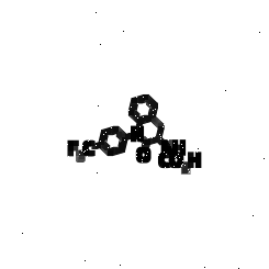 O=C(O)NC1Cc2ccccc2N(c2ccc(C(F)(F)F)cc2)C1=O